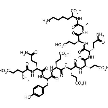 C[C@H](NC(=O)[C@H](CCC(=O)O)NC(=O)[C@H](CCC(N)=O)NC(=O)[C@H](CCC(=O)O)NC(=O)[C@H](CCC(=O)O)NC(=O)[C@H](CCC(=O)O)NC(=O)[C@H](Cc1ccc(O)cc1)NC(=O)[C@H](CCC(N)=O)NC(=O)[C@@H](N)CCC(=O)O)C(=O)N[C@@H](CCCCN)C(=O)O